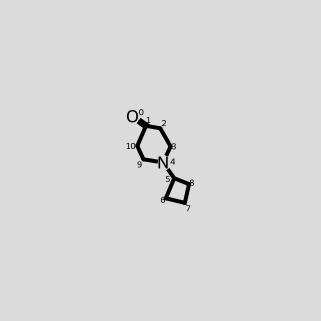 O=C1CCN(C2CCC2)CC1